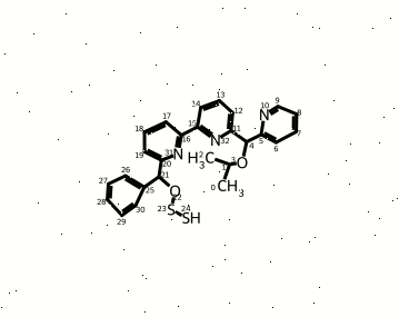 CC(C)OC(c1ccccn1)c1cccc(-c2cccc(C(OSS)c3ccccc3)n2)n1